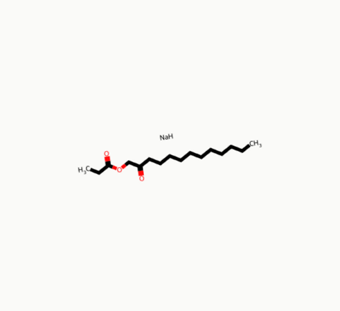 CCCCCCCCCCCC(=O)COC(=O)CC.[NaH]